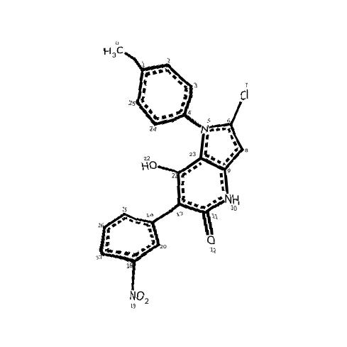 Cc1ccc(-n2c(Cl)cc3[nH]c(=O)c(-c4cccc([N+](=O)[O-])c4)c(O)c32)cc1